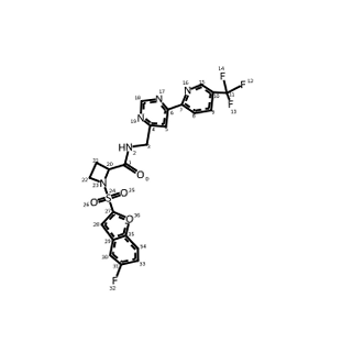 O=C(NCc1cc(-c2ccc(C(F)(F)F)cn2)ncn1)C1CCN1S(=O)(=O)c1cc2cc(F)ccc2o1